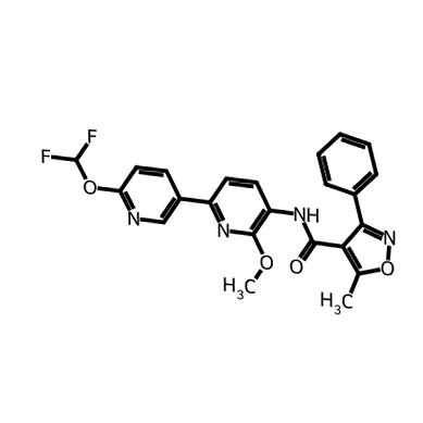 COc1nc(-c2ccc(OC(F)F)nc2)ccc1NC(=O)c1c(-c2ccccc2)noc1C